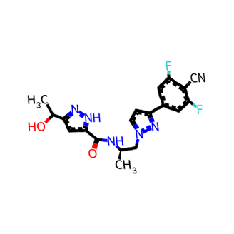 CC(O)c1cc(C(=O)N[C@H](C)Cn2ccc(-c3cc(F)c(C#N)c(F)c3)n2)[nH]n1